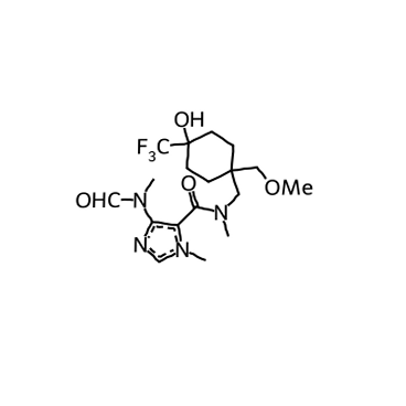 COCC1(CN(C)C(=O)c2c(N(C)C=O)ncn2C)CCC(O)(C(F)(F)F)CC1